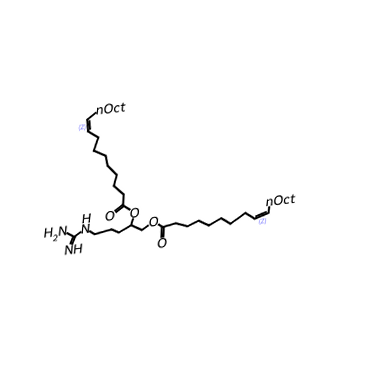 CCCCCCCC/C=C\CCCCCCCC(=O)OCC(CCCNC(=N)N)OC(=O)CCCCCCC/C=C\CCCCCCCC